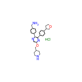 Cl.NCc1ccc(-c2ncc(OCC3CCNCC3)nc2-c2ccc(C3CCOC3)cc2)cc1